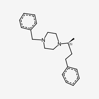 C[C@@H](CCc1ccccc1)N1CCN(Cc2ccccc2)CC1